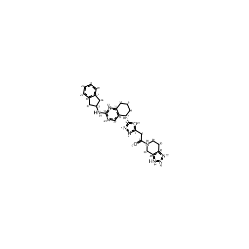 O=C(Cc1nnc([C@H]2CCCc3nc(NC4Cc5ccccc5C4)ncc32)o1)N1CCc2nn[nH]c2C1